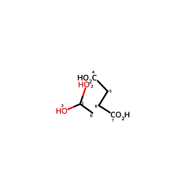 CC(O)O.O=C(O)CCC(=O)O